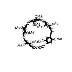 COc1cc2c(OC)cc1CCCCCc1cc(OC)c(cc1OC)Cc1cc(OC)c(cc1OC)Cc1cc(OC)c(cc1OC)Cc1cc(OC)c(cc1OC)C2